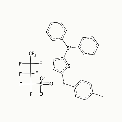 Cc1ccc(Sc2ccc([S+](c3ccccc3)c3ccccc3)s2)cc1.O=S(=O)([O-])C(F)(F)C(F)(F)C(F)(F)C(F)(F)F